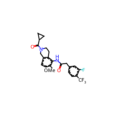 COc1ccc2c(c1NC(=O)Cc1ccc(C(F)(F)F)c(F)c1)CCN(C(=O)C1CC1)C2